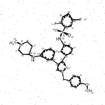 COc1ccc(Cn2cc(-c3cccc(NC4CCN(C)CC4)c3)c(-c3cccc(NS(=O)(=O)c4cc(F)ccc4F)c3)n2)cc1